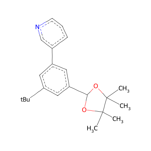 CC(C)(C)c1cc(-c2cccnc2)cc(C2OC(C)(C)C(C)(C)O2)c1